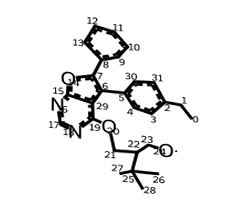 CCc1ccc(-c2c(-c3ccccc3)oc3ncnc(OCC(C[O])C(C)(C)C)c23)cc1